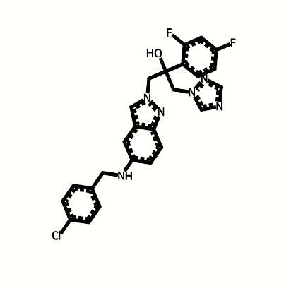 OC(Cn1cncn1)(Cn1cc2cc(NCc3ccc(Cl)cc3)ccc2n1)c1ccc(F)cc1F